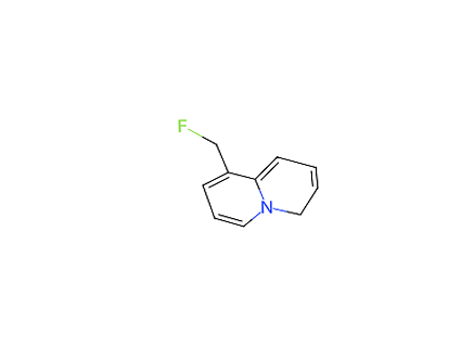 FCC1=CC=CN2CC=CC=C12